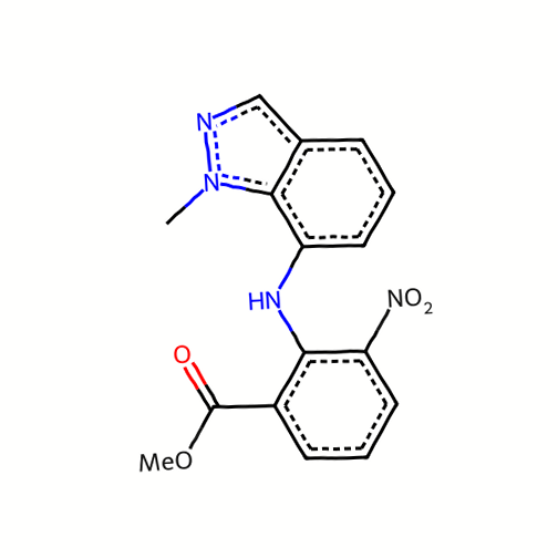 COC(=O)c1cccc([N+](=O)[O-])c1Nc1cccc2cnn(C)c12